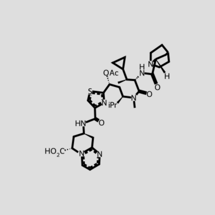 CC(=O)O[C@H](C[C@H](C(C)C)N(C)C(=O)[C@@H](NC(=O)[C@H]1CC2CCN1CC2)[C@@H](C)C1CC1)c1nc(C(=O)N[C@@H](Cc2ncccn2)C[C@H](C)C(=O)O)cs1